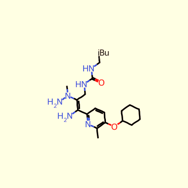 CCC(C)CNC(=O)NC/C(=C(/N)c1ccc(OC2CCCCC2)c(C)n1)N(C)N